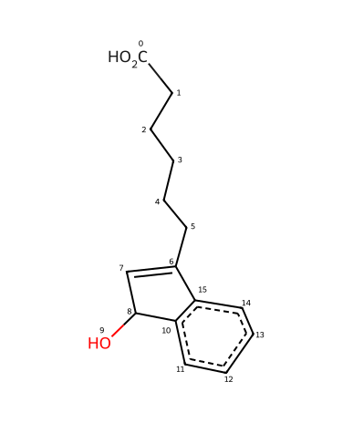 O=C(O)CCCCCC1=CC(O)c2ccccc21